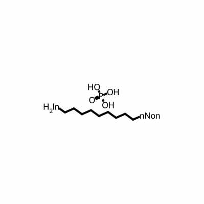 CCCCCCCCCCCCCCCCC[CH2][InH2].O=P(O)(O)O